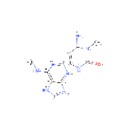 CN1C(=O)NC=CC1N.CNc1ncnc2nc[nH]c12